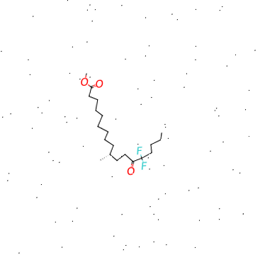 CCCCC(F)(F)C(=O)CC[C@H](C)CCCCCCCCC(=O)OC